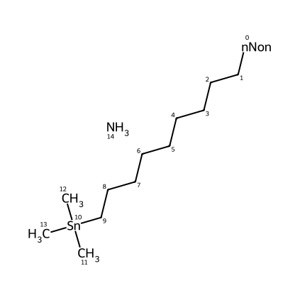 CCCCCCCCCCCCCCCCC[CH2][Sn]([CH3])([CH3])[CH3].N